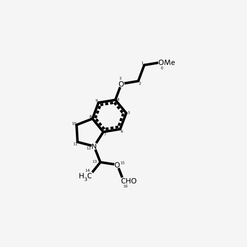 COCCOc1ccc2c(c1)CCN2C(C)OC=O